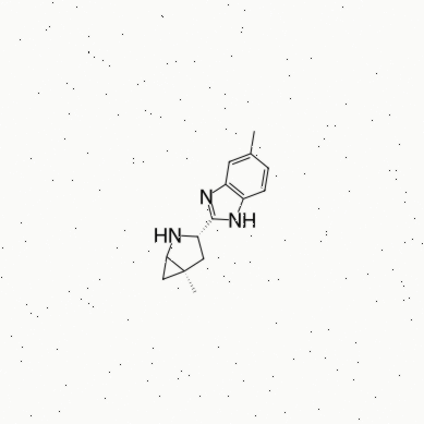 Cc1ccc2[nH]c([C@@H]3C[C@@]4(C)CC4N3)nc2c1